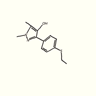 CCSc1ccc(-c2nn(C)c(C)c2O)cc1